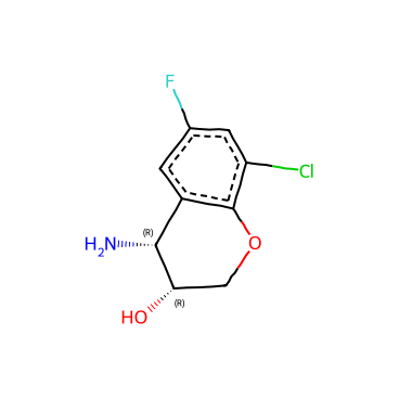 N[C@@H]1c2cc(F)cc(Cl)c2OC[C@@H]1O